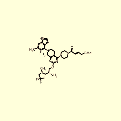 COC/C=C/C(=O)N1CCN(c2nc(OC[C@H]([SiH3])[C@@H]3CC(F)(F)CN3C)nc3c2CCN(c2c(C)c(C)cc4[nH]ccc24)C3)CC1